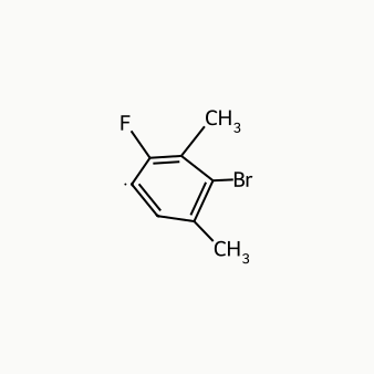 Cc1c[c]c(F)c(C)c1Br